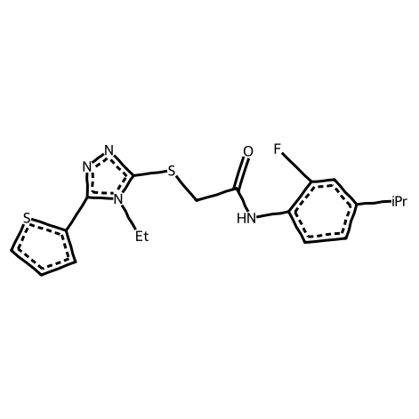 CCn1c(SCC(=O)Nc2ccc(C(C)C)cc2F)nnc1-c1cccs1